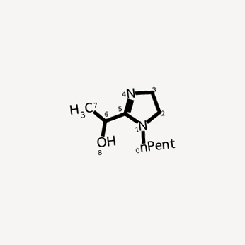 CCCCCN1CCN=C1C(C)O